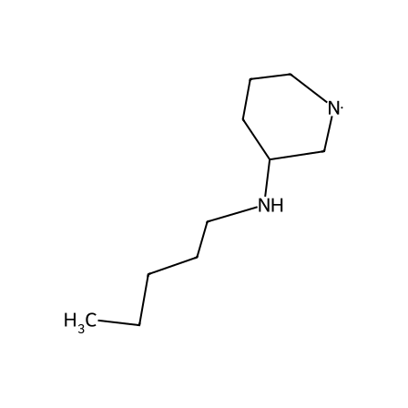 CCCCCNC1CCC[N]C1